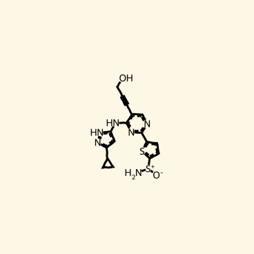 N[S+]([O-])c1ccc(-c2ncc(C#CCO)c(Nc3cc(C4CC4)n[nH]3)n2)s1